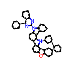 c1ccc(-c2cccc(-n3c4c(ccc5oc6ccccc6c54)c4ccc5c(c6ccccc6n5-c5nc(-c6ccccc6)c6ccccc6n5)c43)c2)cc1